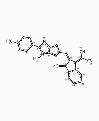 Cn1c(-c2ccc(C(F)(F)F)cc2)nc2sc(/C=C3\C(=O)c4ccccc4C3=C(C#N)C#N)cc21